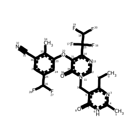 CCc1nc(C)[nH]c(=O)c1Cn1cnc(C(F)(F)C(F)F)c(Oc2cc(C(F)F)cc(C#N)c2C)c1=O